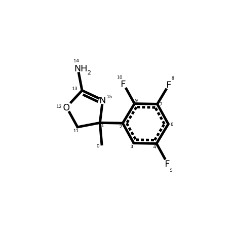 CC1(c2cc(F)cc(F)c2F)COC(N)=N1